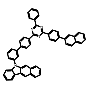 c1ccc(-c2nc(-c3ccc(-c4cccc(-n5c6ccccc6c6cc7ccccc7cc65)c4)cc3)nc(-c3ccc(-c4ccc5ccccc5c4)cc3)n2)cc1